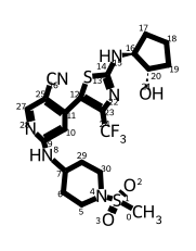 CS(=O)(=O)N1CCC(Nc2cc(-c3sc(N[C@H]4CCC[C@@H]4O)nc3C(F)(F)F)c(C#N)cn2)CC1